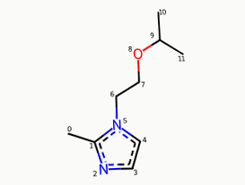 Cc1nccn1CCOC(C)C